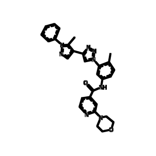 Cc1ccc(NC(=O)c2ccnc(N3CCOCC3)c2)cc1-n1cc(-c2cnn(-c3ccccc3)c2C)nn1